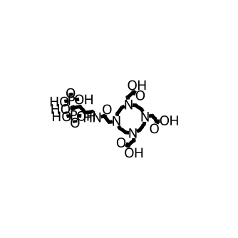 O=C(O)CN1CCN(CC(=O)O)CCN(CC(=O)NCCCC(O)(P(=O)(O)O)P(=O)(O)O)CCN(CC(=O)O)CC1